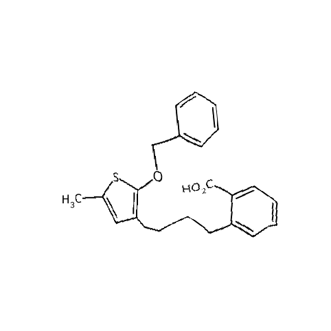 Cc1cc(CCCc2ccccc2C(=O)O)c(OCc2ccccc2)s1